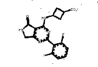 O=C1NCc2nc(-c3c(F)cccc3F)nc(NC3CC(C(=O)O)C3)c21